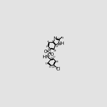 Cc1nc2ccc(S(=O)(=O)Nc3ccc(Cl)cc3)cc2[nH]1